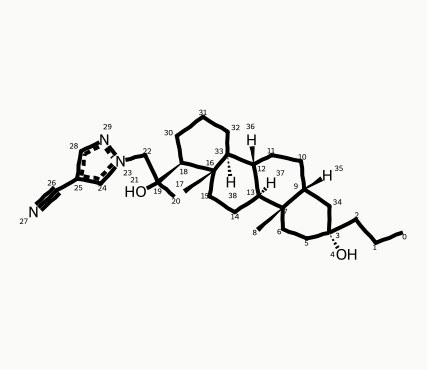 CCC[C@@]1(O)CC[C@@]2(C)[C@H](CC[C@@H]3[C@@H]2CC[C@]2(C)[C@@H](C(C)(O)Cn4cc(C#N)cn4)CCC[C@@H]32)C1